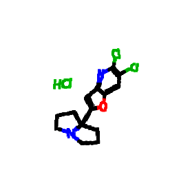 Cl.Clc1cc2oc(C34CCCN3CCC4)cc2nc1Cl